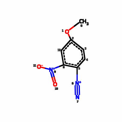 COc1ccc([N+]#N)c([N+](=O)[O-])c1